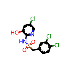 O=S(=O)(Cc1ccc(Cl)c(Cl)c1)Nc1ncc(Cl)cc1O